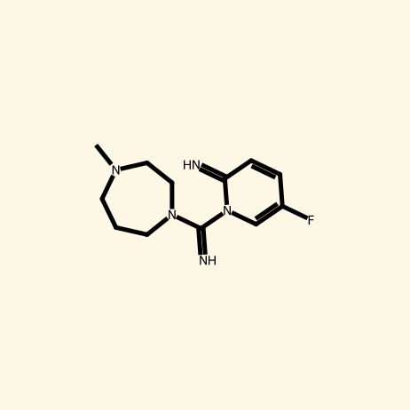 CN1CCCN(C(=N)n2cc(F)ccc2=N)CC1